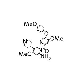 COC1=C(C2CC=NCC2)CN(C(=O)c2cc(OC)c(Oc3ccc(OC)cc3)cn2)C(N)=C1